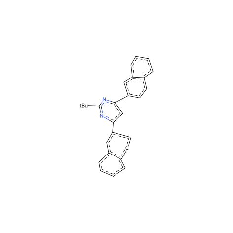 CC(C)(C)c1nc(-c2ccc3ccccc3c2)cc(-c2ccc3ccccc3c2)n1